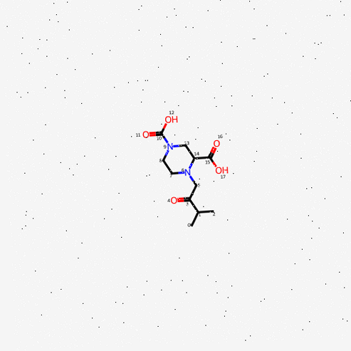 CC(C)C(=O)CN1CCN(C(=O)O)CC1C(=O)O